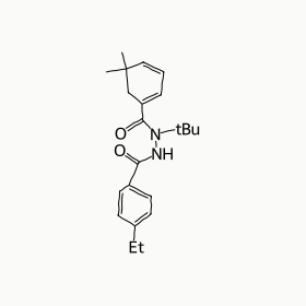 CCc1ccc(C(=O)NN(C(=O)C2=CC=CC(C)(C)C2)C(C)(C)C)cc1